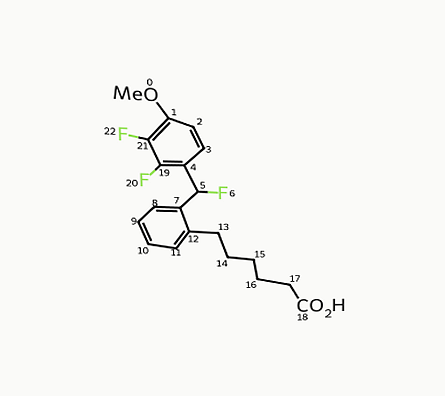 COc1ccc(C(F)c2ccccc2CCCCCC(=O)O)c(F)c1F